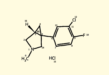 CN1C[C@@H]2CC2(c2ccc(F)c(Cl)c2)C1.Cl